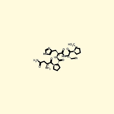 CC(C)C[C@H](NC(=O)[C@H](Cc1c[nH]cn1)NC(=O)[C@@H]1CCCN1C(=O)[C@@H](N)CC(N)=O)C(=O)N1CCC[C@H]1C(=O)O